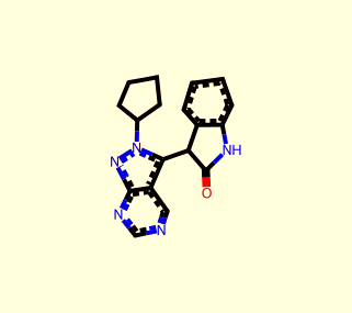 O=C1Nc2ccccc2C1c1c2cncnc2nn1C1CCCC1